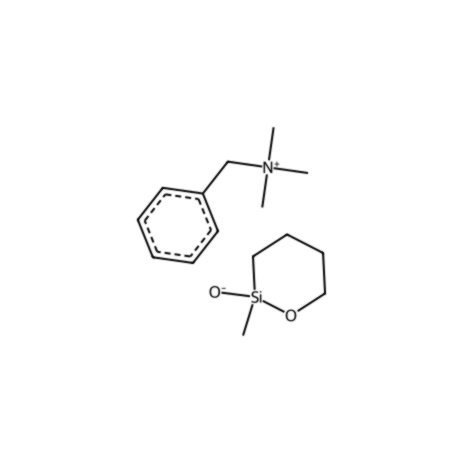 C[N+](C)(C)Cc1ccccc1.C[Si]1([O-])CCCCO1